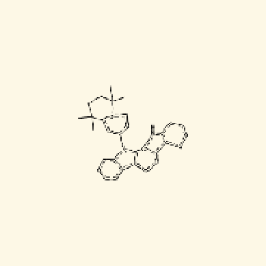 CC1(C)CCC(C)(C)c2cc(-n3c4ccccc4c4ccc5c6ccccc6[nH]c5c43)ccc21